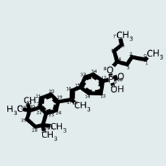 CCCCC(CCC)OP(=O)(O)c1ccc(C=C(C)c2ccc3c(c2)C(C)(C)CCC3(C)C)cc1